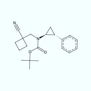 CC(C)(C)OC(=O)N(CC1(C#N)CCC1)[C@H]1C[C@@H]1c1ccccc1